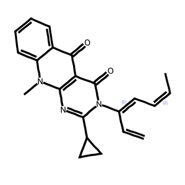 C=C/C(=C\C=C/C)n1c(C2CC2)nc2c(c(=O)c3ccccc3n2C)c1=O